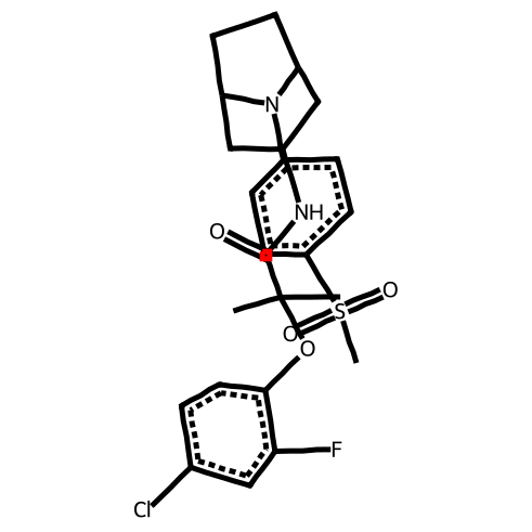 CC(C)(Oc1ccc(Cl)cc1F)C(=O)NC1CC2CCC(C1)N2c1ccc(S(C)(=O)=O)cc1